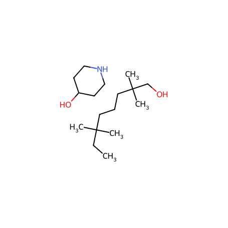 CCC(C)(C)CCCC(C)(C)CO.OC1CCNCC1